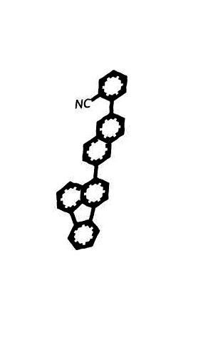 N#Cc1ccccc1-c1ccc2cc(-c3ccc4c5c(cccc35)-c3ccccc3-4)ccc2c1